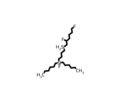 CCCCCC[Si](F)(CCCCCC)CCCC[SiH2]CC(F)CCCCF